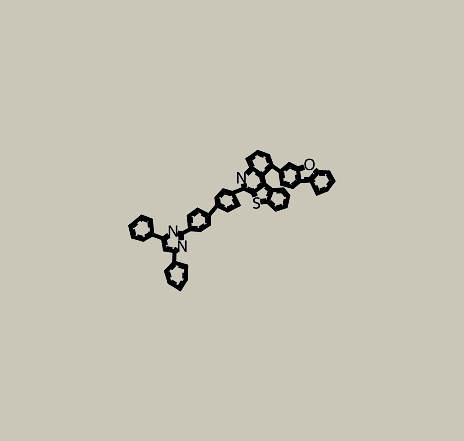 c1ccc(-c2cc(-c3ccccc3)nc(-c3ccc(-c4ccc(-c5nc6cccc(-c7ccc8c(c7)oc7ccccc78)c6c6c5sc5ccccc56)cc4)cc3)n2)cc1